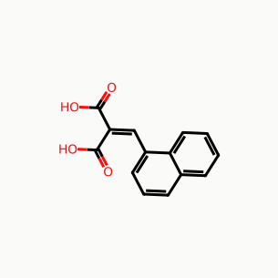 O=C(O)C(=Cc1cccc2ccccc12)C(=O)O